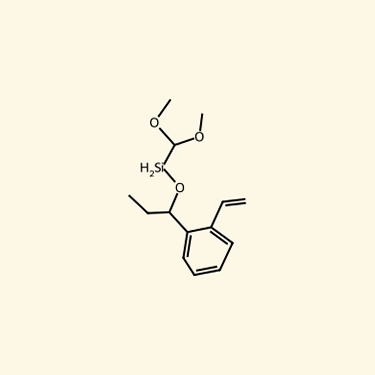 C=Cc1ccccc1C(CC)O[SiH2]C(OC)OC